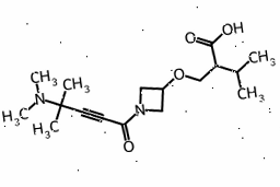 CC(C)C(COC1CN(C(=O)C#CC(C)(C)N(C)C)C1)C(=O)O